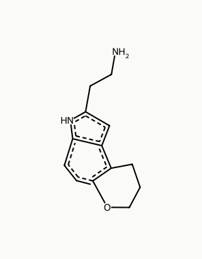 NCCc1cc2c3c(ccc2[nH]1)OCCC3